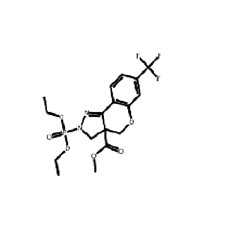 CCOP(=O)(OCC)N1CC2(C(=O)OC)COc3cc(C(F)(F)F)ccc3C2=N1